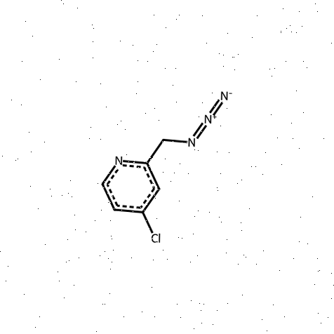 [N-]=[N+]=NCc1cc(Cl)ccn1